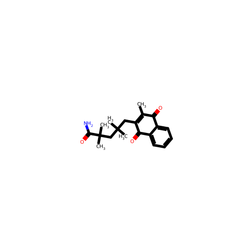 CC1=C(CC(C)(C)CC(C)(C)C(N)=O)C(=O)c2ccccc2C1=O